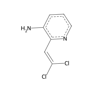 Nc1cccnc1C=C(Cl)Cl